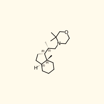 C[C@H](CN1CCOCC1(C)C)[C@H]1CC[C@@H]2CCCC[C@]21C